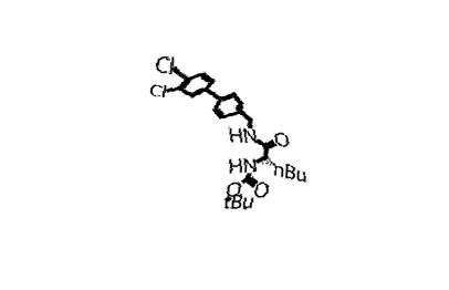 CCCC[C@H](NC(=O)OC(C)(C)C)C(=O)NCc1ccc(-c2ccc(Cl)c(Cl)c2)cc1